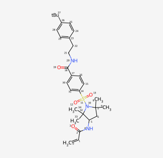 C=CC(=O)NC1CC(C)(C)N(S(=O)(=O)c2ccc(C(=O)NCCc3ccc(C(C)(C)C)cc3)cc2)C1(C)C